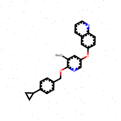 COc1cc(Oc2ccc3ncccc3c2)cnc1OCc1ccc(C2CC2)cc1